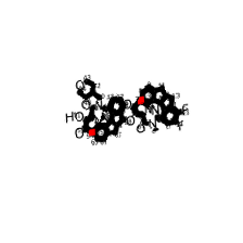 CN1CN(C23c4ccccc4CC2Cc2c3ccc(F)c2F)n2ccc(=O)c(OC3c4ccccc4C4(N5CN(CC6CCOCC6)C(=O)c6c(O)c(=O)ccn65)c5ccccc5CC34)c2C1=O